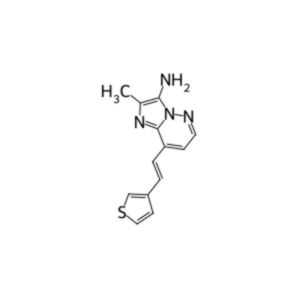 Cc1nc2c(C=Cc3ccsc3)ccnn2c1N